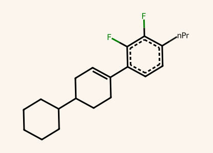 CCCc1ccc(C2=CCC(C3CCCCC3)CC2)c(F)c1F